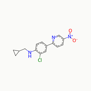 O=[N+]([O-])c1ccc(-c2ccc(NCC3CC3)c(Cl)c2)nc1